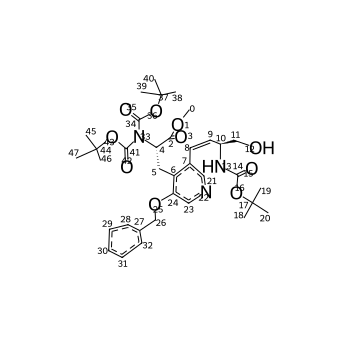 COC(=O)[C@H](Cc1c(/C=C\[C@@H](CO)NC(=O)OC(C)(C)C)cncc1OCc1ccccc1)N(C(=O)OC(C)(C)C)C(=O)OC(C)(C)C